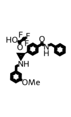 COc1cccc(CN[C@@H]2C[C@H]2c2ccc(C(=O)NCc3ccccc3)cc2)c1.O=C(O)C(F)(F)F